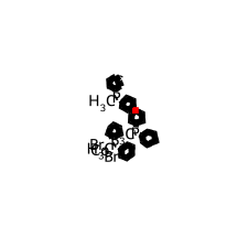 CP(c1ccccc1)c1ccccc1.CP(c1ccccc1)c1ccccc1.CP(c1ccccc1)c1ccccc1.[Br][Co][Br]